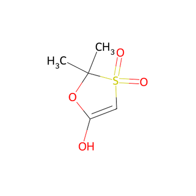 CC1(C)OC(O)=CS1(=O)=O